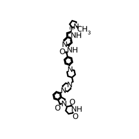 CN1CCC[C@@H]1c1cc2cnc(NC(=O)c3ccc(N4CCC(CN5CCN(c6cccc7c6CN(C6CCC(=O)NC6=O)C7=O)CC5)CC4)cc3)cc2[nH]1